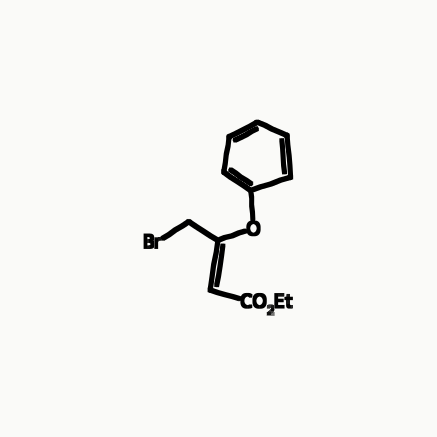 CCOC(=O)/C=C(/CBr)Oc1ccccc1